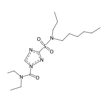 CCCCCCN(CCC)S(=O)(=O)c1ncn(C(=O)N(CC)CC)n1